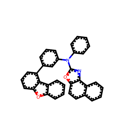 c1ccc(N(c2cccc(-c3cccc4oc5ccccc5c34)c2)c2nc3c(ccc4ccccc43)o2)cc1